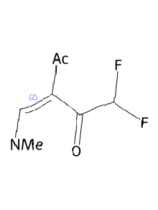 CN/C=C(/C(C)=O)C(=O)C(F)F